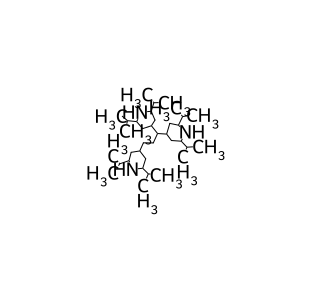 CC(C)C1CC(CCC(C2CC(C(C)C)NC(C(C)C)C2)C2CC(C(C)C)NC(C(C)C)C2)CC(C(C)C)N1